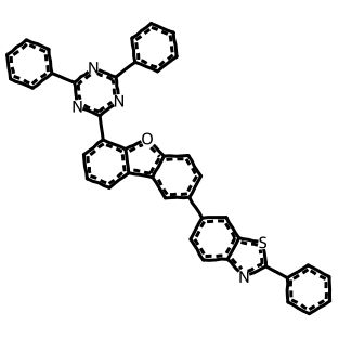 c1ccc(-c2nc(-c3ccccc3)nc(-c3cccc4c3oc3ccc(-c5ccc6nc(-c7ccccc7)sc6c5)cc34)n2)cc1